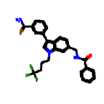 NC(=S)c1cccc(-c2cn(CCCC(F)(F)F)c3cc(CNC(=O)c4ccccc4)ccc23)c1